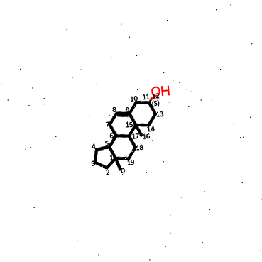 CC12CCCC1C1CC=C3C[C@@H](O)CCC3(C)C1CC2